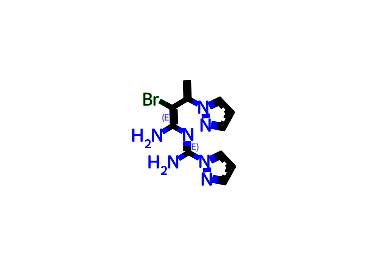 C=C(/C(Br)=C(N)\N=C(/N)n1cccn1)n1cccn1